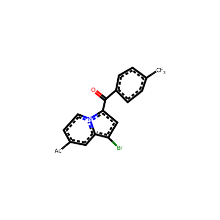 CC(=O)c1ccn2c(C(=O)c3ccc(C(F)(F)F)cc3)cc(Br)c2c1